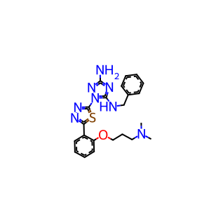 CN(C)CCCOc1ccccc1-c1nnc(-n2nc(N)nc2NCc2ccccc2)s1